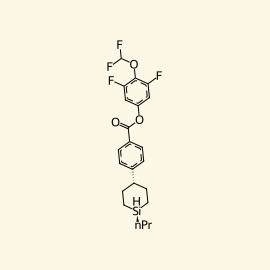 CCC[Si@H]1CC[C@H](c2ccc(C(=O)Oc3cc(F)c(OC(F)F)c(F)c3)cc2)CC1